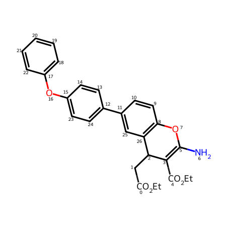 CCOC(=O)CC1C(C(=O)OCC)=C(N)Oc2ccc(-c3ccc(Oc4ccccc4)cc3)cc21